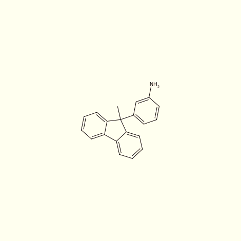 CC1(c2cccc(N)c2)c2ccccc2-c2ccccc21